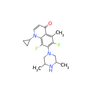 Cc1c(F)c(N2CC(C)NC(C)C2)c(F)c2c1c(=O)ccn2C1CC1